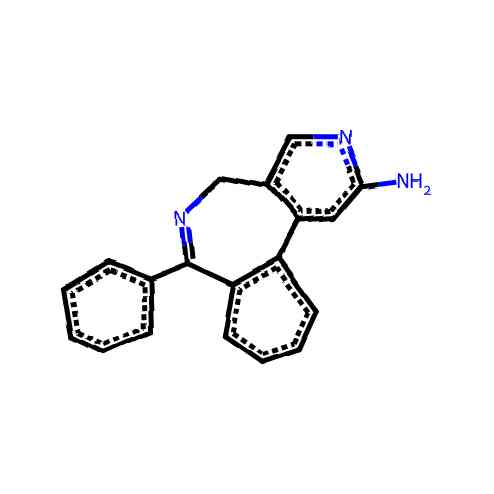 Nc1cc2c(cn1)CN=C(c1ccccc1)c1ccccc1-2